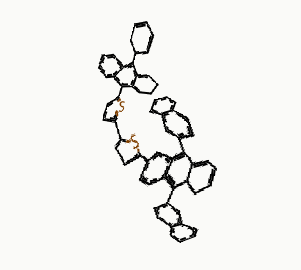 C1=CCC2C(=C1)C(c1ccc3ccccc3c1)=c1cc(C3=CCC(c4ccc(-c5c6c(c(C7C=CC=CC7)c7ccccc57)=CCCC=6)s4)S3)ccc1=C2c1ccc2ccccc2c1